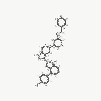 Fc1ccc(-c2cccc3[nH]c(-c4n[nH]c5cnc(-c6cncc(OCc7ccccc7)c6)cc45)cc23)cc1